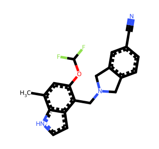 Cc1cc(OC(F)F)c(CN2Cc3ccc(C#N)cc3C2)c2cc[nH]c12